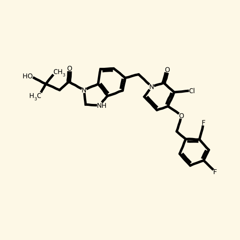 CC(C)(O)CC(=O)N1CNc2cc(Cn3ccc(OCc4ccc(F)cc4F)c(Cl)c3=O)ccc21